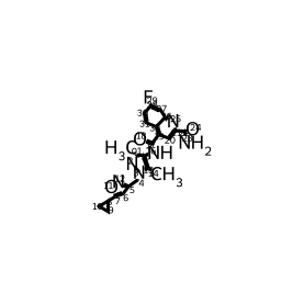 Cc1nn(Cc2cc(C3CC3)on2)c(C)c1NC(=O)c1cc(C(N)=O)nc2cc(F)ccc12